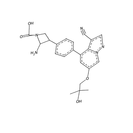 CC(C)(O)COc1cc(-c2ccc(C3CN(C(=O)O)C3N)cc2)c2c(C#N)cnn2c1